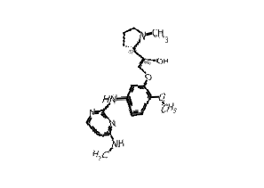 CNc1ccnc(Nc2ccc(OC)c(OC[C@H](O)[C@@H]3CCCN3C)c2)n1